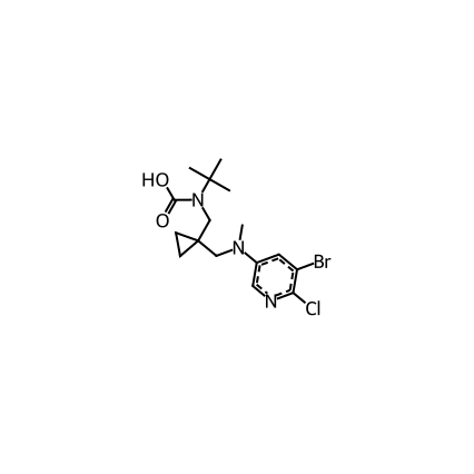 CN(CC1(CN(C(=O)O)C(C)(C)C)CC1)c1cnc(Cl)c(Br)c1